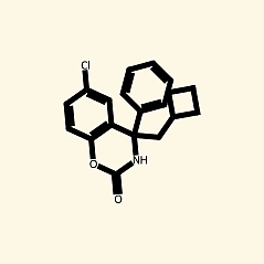 O=C1NC(CC2CCC2)(c2ccccc2)c2cc(Cl)ccc2O1